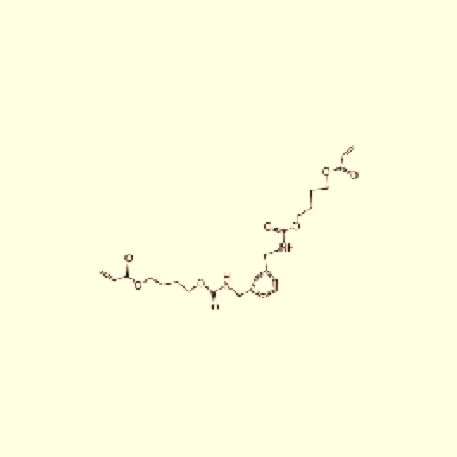 C=CC(=O)OCCCCOC(=O)NCc1cccc(CNC(=O)OCCCCOC(=O)C=C)c1